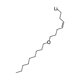 [Li][CH2]C/C=C\CCCOCCCCCCCCC